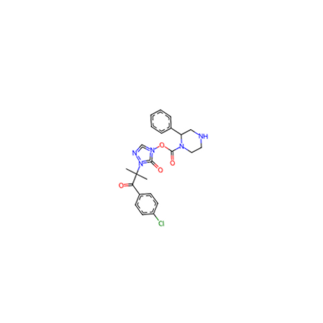 CC(C)(C(=O)c1ccc(Cl)cc1)n1ncn(OC(=O)N2CCNCC2c2ccccc2)c1=O